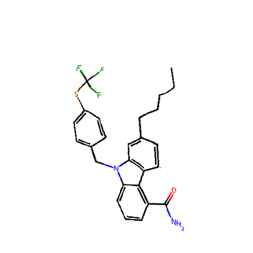 CCCCCc1c[c]c2c3c(C(N)=O)cccc3n(Cc3ccc(SC(F)(F)F)cc3)c2c1